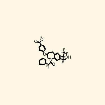 COC(=O)c1ccc(O[C@H]2CCc3cc4c(cc3N(C(=O)[C@@H](C)c3ccccc3)C2)C(C)(F)C4(O)C(F)(F)F)cc1